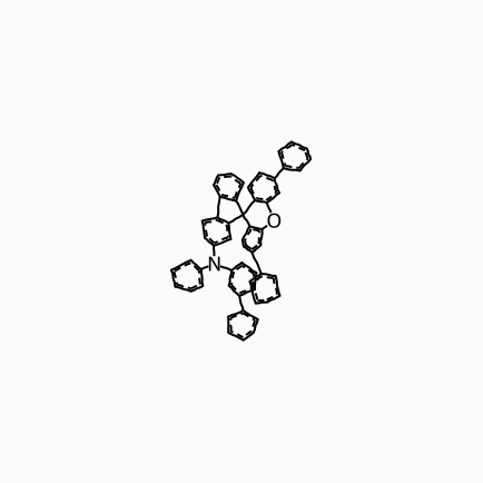 c1ccc(-c2cccc(N(c3ccccc3)c3ccc4c(c3)C3(c5ccc(-c6ccccc6)cc5Oc5cc(-c6ccccc6)ccc53)c3ccccc3-4)c2)cc1